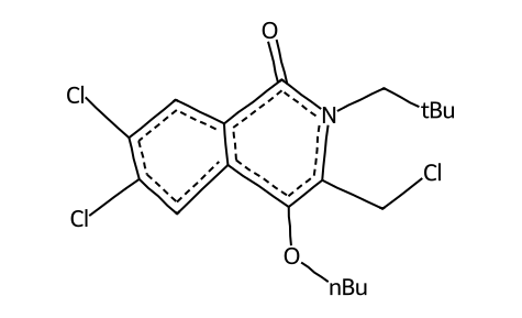 CCCCOc1c(CCl)n(CC(C)(C)C)c(=O)c2cc(Cl)c(Cl)cc12